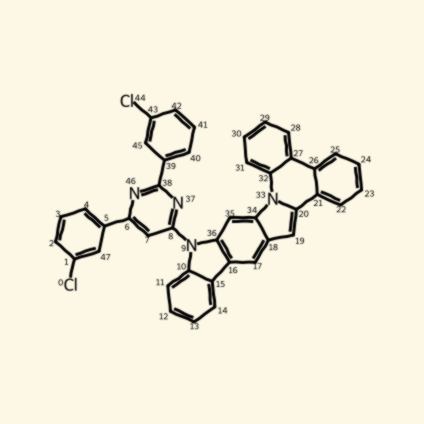 Clc1cccc(-c2cc(-n3c4ccccc4c4cc5cc6c7ccccc7c7ccccc7n6c5cc43)nc(-c3cccc(Cl)c3)n2)c1